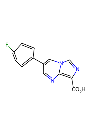 O=C(O)c1ncn2cc(-c3ccc(F)cc3)cnc12